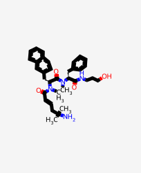 CN(C(=O)/C=C/CC(C)(C)N)[C@H](Cc1ccc2ccccc2c1)C(=O)N(C)[C@H](Cc1ccccc1)C(=O)NCCCO